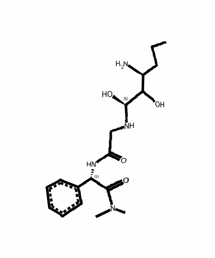 CCCC(N)C(O)[C@H](O)NCC(=O)N[C@H](C(=O)N(C)C)c1ccccc1